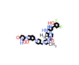 C[C@@H]1CN(CC2CCN(c3ccc4c(c3)C(=O)N([C@@H]3CCC(=O)NC3=O)C4)CC2)C[C@H](C)N1C(=O)N1CCN2c3cc(-c4cc(F)cc(F)c4O)nnc3NC[C@@]2(C)C1